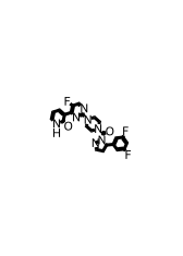 O=C(N1CCN(c2ncc(F)c(-c3ccc[nH]c3=O)n2)CC1)N1N=CCC1c1cc(F)cc(F)c1